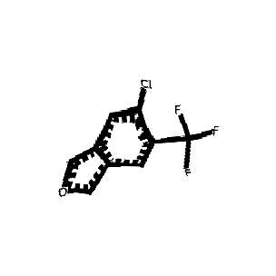 FC(F)(F)c1cc2co[c]c2cc1Cl